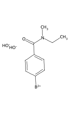 [B+2]c1ccc(C(=O)N(C)CC)cc1.[OH-].[OH-]